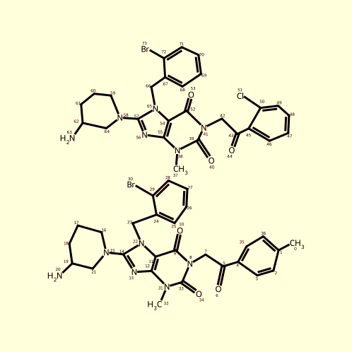 Cc1ccc(C(=O)Cn2c(=O)c3c(nc(N4CCCC(N)C4)n3Cc3ccccc3Br)n(C)c2=O)cc1.Cn1c(=O)n(CC(=O)c2ccccc2Cl)c(=O)c2c1nc(N1CCCC(N)C1)n2Cc1ccccc1Br